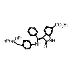 CCCN(CCC)Cc1ccc(N/C(=C2\C(=O)Nc3cc(C(=O)OCC)ccc32)c2ccccc2)cc1